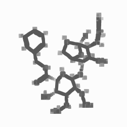 CCCCOC1[C@H](O)[C@H](C(=O)OCc2ccccc2)O[C@@H](O[C@@H]2C3CO[C@H](O3)[C@@H](N=[N+]=[N-])C2OC(C)=O)[C@H]1OCCCC